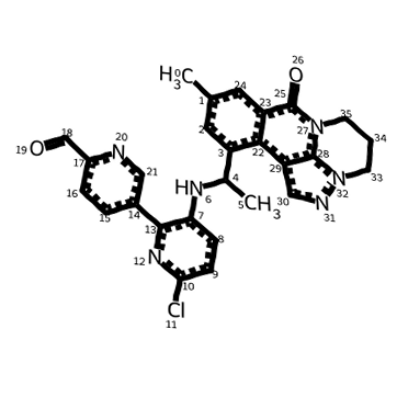 Cc1cc(C(C)Nc2ccc(Cl)nc2-c2ccc(C=O)nc2)c2c(c1)c(=O)n1c3c2cnn3CCC1